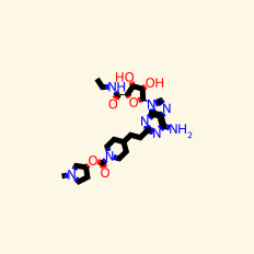 CCNC(=O)[C@H]1O[C@@H](n2cnc3c(N)nc(CCC4CCN(C(=O)OC5CCN(C)C5)CC4)nc32)C(O)C1O